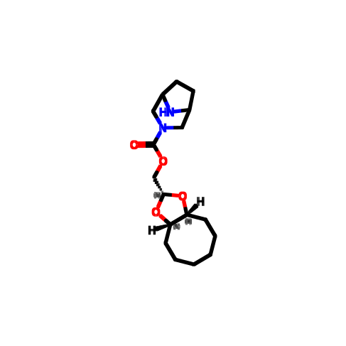 O=C(OC[C@H]1O[C@H]2CCCCCC[C@H]2O1)N1CC2CCC(C1)N2